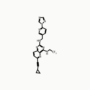 FC(F)(F)CNc1nc(NCc2ccc(-n3cncn3)nc2)nc2ccc(C#CC3CC3)nc12